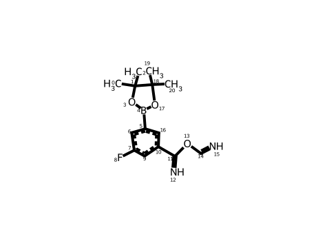 CC1(C)OB(c2cc(F)cc(C(=N)OC=N)c2)OC1(C)C